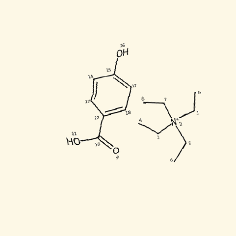 CC[N+](CC)(CC)CC.O=C(O)c1ccc(O)cc1